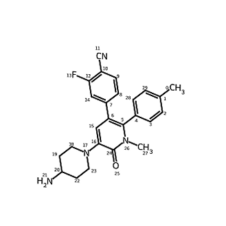 Cc1ccc(-c2c(-c3ccc(C#N)c(F)c3)cc(N3CCC(N)CC3)c(=O)n2C)cc1